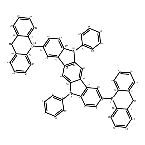 c1ccc(-n2c3ccc(B4c5ccccc5Cc5ccccc54)cc3c3cc4c(cc32)c2cc(B3c5ccccc5Cc5ccccc53)ccc2n4-c2ccccc2)cc1